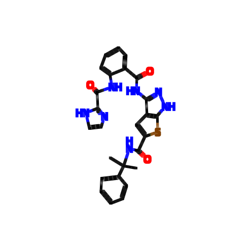 CC(C)(NC(=O)c1cc2c(NC(=O)c3ccccc3NC(=O)c3ncc[nH]3)n[nH]c2s1)c1ccccc1